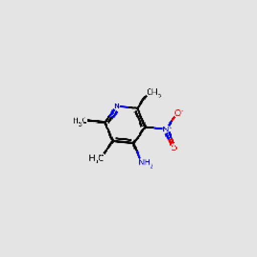 Cc1nc(C)c([N+](=O)[O-])c(N)c1C